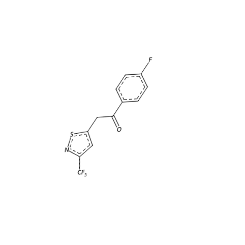 O=C(Cc1cc(C(F)(F)F)ns1)c1ccc(F)cc1